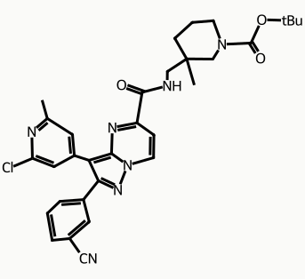 Cc1cc(-c2c(-c3cccc(C#N)c3)nn3ccc(C(=O)NCC4(C)CCCN(C(=O)OC(C)(C)C)C4)nc23)cc(Cl)n1